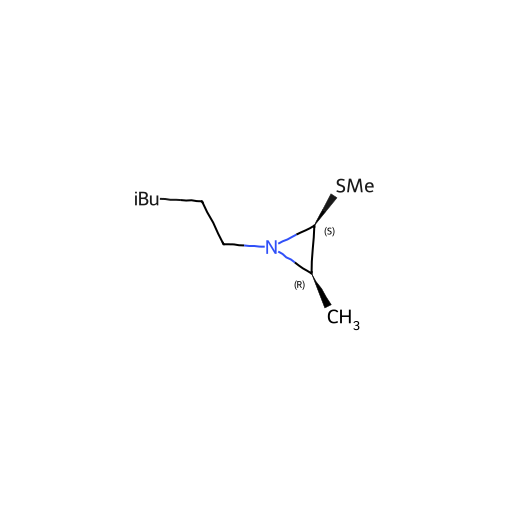 CCC(C)CCN1[C@H](C)[C@@H]1SC